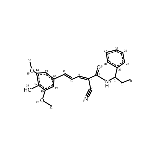 CCC(NC(=O)/C(C#N)=C/C=C/c1cc(OC)c(O)c(OC)c1)c1ccccc1